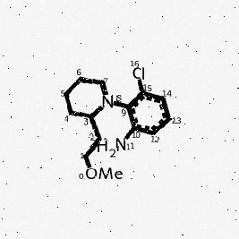 COCCC1CCCCN1c1c(N)cccc1Cl